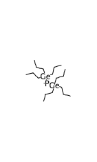 CC[CH2][Ge]([CH2]CC)([CH2]CC)[P][Ge]([CH2]CC)([CH2]CC)[CH2]CC